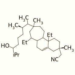 CCC1CC(C)(C(C)[C@H](C)CCCC(O)C(C)C)CCC2C1CC=C1C[C@@](C)(CC#N)CCC12CC